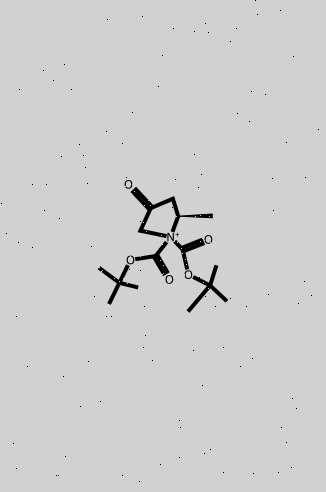 C[C@@H]1CC(=O)C[N+]1(C(=O)OC(C)(C)C)C(=O)OC(C)(C)C